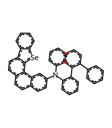 c1ccc(-c2ccccc2-c2ccccc2N(c2ccccc2)c2ccc3ccc4ccc5c6ccccc6[se]c5c4c3c2)cc1